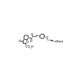 CCCCCC#CCOc1ccc(/C=C/C(=O)Nc2cccc3c(=O)cc(C(=O)O)oc23)cc1